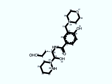 O=CCC[C@H](NC(=O)c1ccc(O)c(CN2CCOCC2)c1)C(O)N1CCCCN1